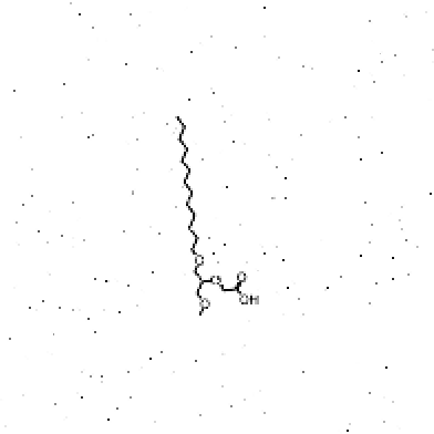 CCCCCCCCCCCCCOCC(COC)OCC(=O)O